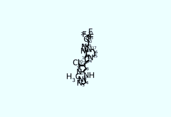 Cn1nccc1Nc1cc(-c2cc3n(c2)CCCn2c(COC(F)(F)F)nnc2-3)c(Cl)cn1